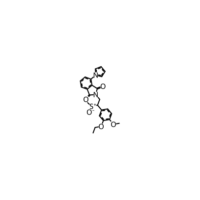 CCOc1cc(C(CN2C(=O)c3cccc(-n4cccc4)c3C2=O)[S+](C)[O-])ccc1OC